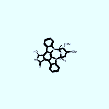 CNC1C[C@H]2O[C@@](C)([C@@H]1OC)n1c3ccccc3c3c4c(c5c6ccccc6n2c5c31)C(=O)N[C@H]4O